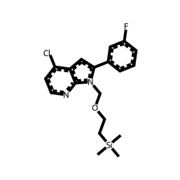 C[Si](C)(C)CCOCn1c(-c2cccc(F)c2)cc2c(Cl)ccnc21